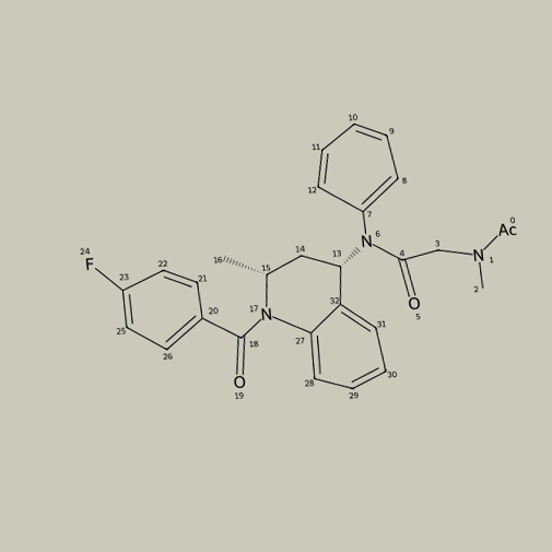 CC(=O)N(C)CC(=O)N(c1ccccc1)[C@H]1C[C@@H](C)N(C(=O)c2ccc(F)cc2)c2ccccc21